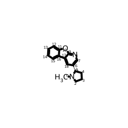 CN1CCC[C@H]1c1cnc2oc3ccccc3c2c1